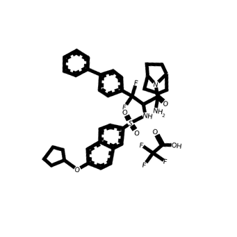 NC1CC2CCC(C1)N2C(=O)C(NS(=O)(=O)c1ccc2cc(OC3CCCC3)ccc2c1)C(F)(F)c1ccc(-c2ccccc2)cc1.O=C(O)C(F)(F)F